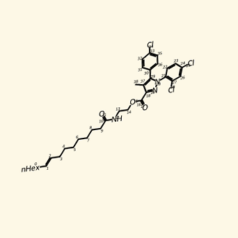 CCCCCC/C=C/CCCCCCCC(=O)NCCOC(=O)c1nn(-c2ccc(Cl)cc2Cl)c(-c2ccc(Cl)cc2)c1C